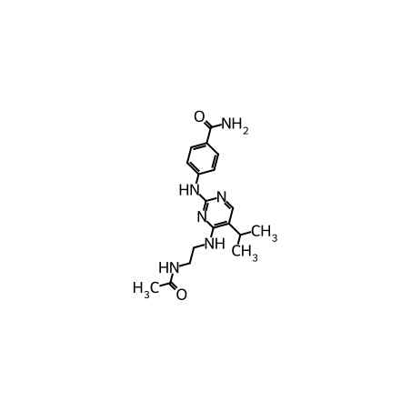 CC(=O)NCCNc1nc(Nc2ccc(C(N)=O)cc2)ncc1C(C)C